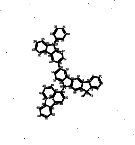 CC1(C)c2ccccc2-c2cc3c4cc(-c5ccc6c(c5)c5ccccc5n6-c5ccccc5)ccc4n(-c4ccc5c6c(cccc46)-c4ccccc4-5)c3cc21